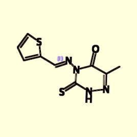 Cc1n[nH]c(=S)n(/N=C/c2cccs2)c1=O